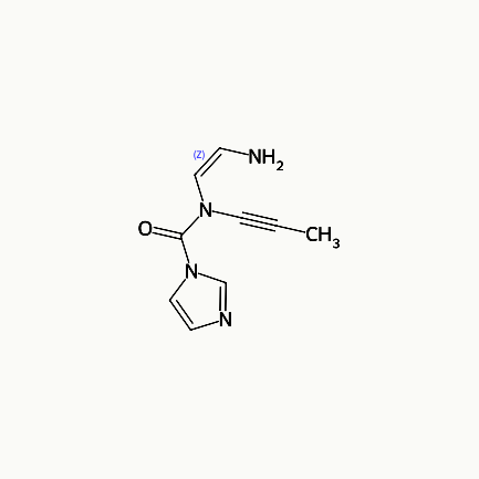 CC#CN(/C=C\N)C(=O)n1ccnc1